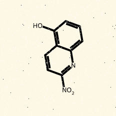 O=[N+]([O-])c1ccc2c(O)cccc2n1